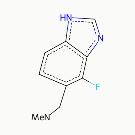 CNCc1ccc2[nH]cnc2c1F